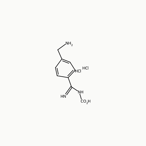 Cl.Cl.N=C(NC(=O)O)c1ccc(CN)cc1